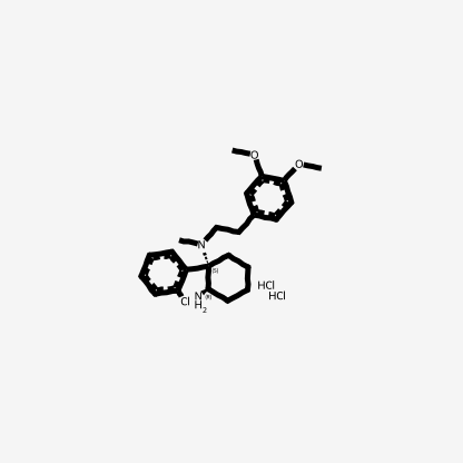 COc1ccc(CCN(C)[C@]2(c3ccccc3Cl)CCCC[C@H]2N)cc1OC.Cl.Cl